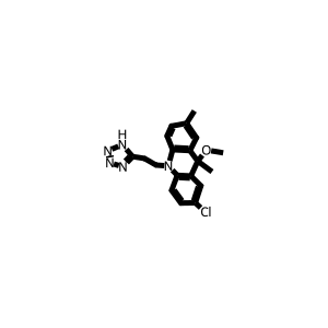 COC1(C)c2cc(C)ccc2N(CCc2nnn[nH]2)c2ccc(Cl)cc21